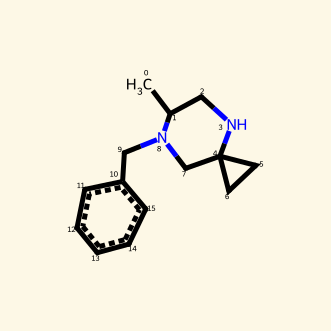 CC1CNC2(CC2)CN1Cc1ccccc1